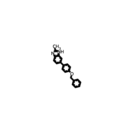 Cc1nc2ccc(-c3ccc(OCc4ccccc4)cc3)cc2[nH]1